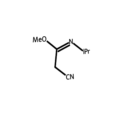 COC(CC#N)=NC(C)C